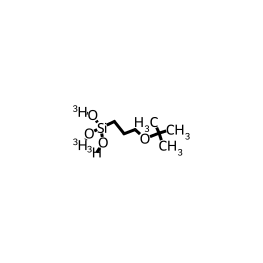 [3H]O[Si](CCCOC(C)(C)C)(O[3H])O[3H]